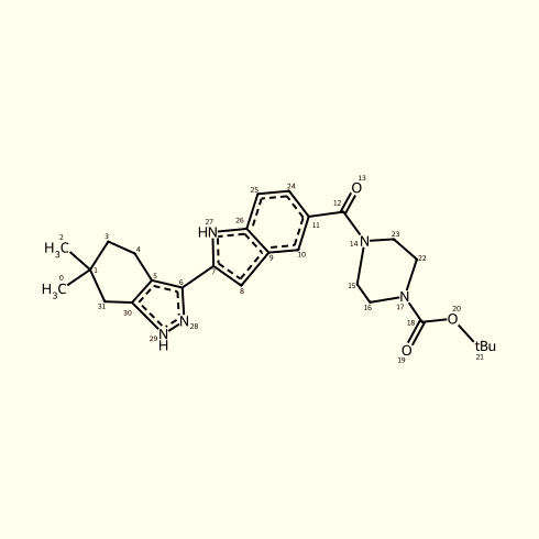 CC1(C)CCc2c(-c3cc4cc(C(=O)N5CCN(C(=O)OC(C)(C)C)CC5)ccc4[nH]3)n[nH]c2C1